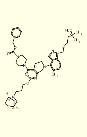 Cc1ccc2c(cnn2COCC[Si](C)(C)C)c1N1CCc2c(nc(OCCCN3C[C@@H]4C[C@H]3CO4)nc2N2CCN(C(=O)OCc3ccccc3)CC2)C1